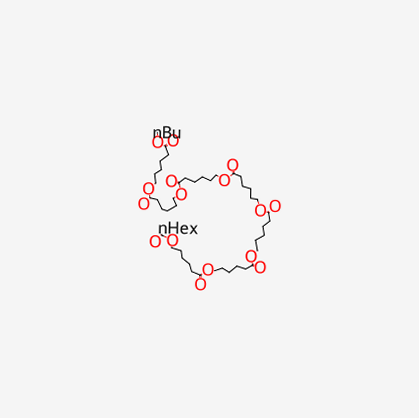 CCCCCCC(=O)OCCCCCC(=O)OCCCCCC(=O)OCCCCCC(=O)OCCCCCC(=O)OCCCCCC(=O)OCCCCCC(=O)OCCCCCC(=O)OCCCC